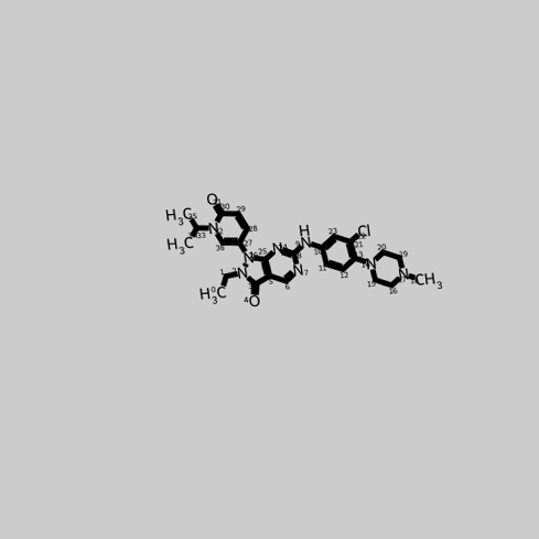 CCn1c(=O)c2cnc(Nc3ccc(N4CCN(C)CC4)c(Cl)c3)nc2n1-c1ccc(=O)n(C(C)C)c1